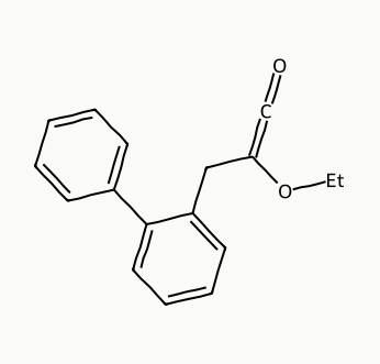 CCOC(=C=O)Cc1ccccc1-c1ccccc1